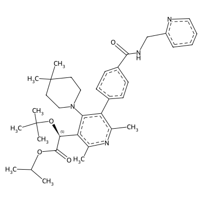 Cc1nc(C)c([C@H](OC(C)(C)C)C(=O)OC(C)C)c(N2CCC(C)(C)CC2)c1-c1ccc(C(=O)NCc2ccccn2)cc1